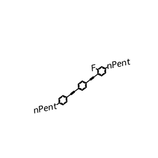 CCCCCc1ccc(C#Cc2ccc(C#Cc3ccc(CCCCC)cc3F)cc2)cc1